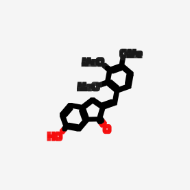 COc1ccc(/C=C2\Cc3ccc(O)cc3C2=O)c(OC)c1OC